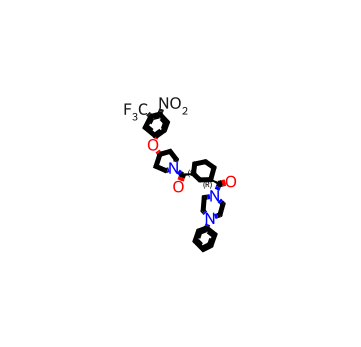 O=C([C@@H]1CCC[C@H](C(=O)N2CCC(Oc3ccc([N+](=O)[O-])c(C(F)(F)F)c3)CC2)C1)N1CCN(c2ccccc2)CC1